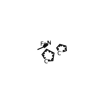 CC#N.[Fe+2].c1cc[cH-]c1.c1cc[cH-]c1